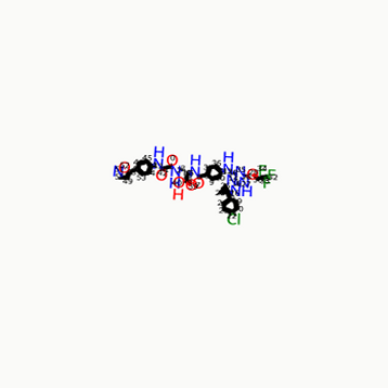 O=C(NC[C@H](NC(=O)c1ccc(Nc2nc(NC3(c4ccc(Cl)cc4)CC3)nc(OCC(F)(F)F)n2)cc1)C(=O)O)C(=O)Nc1ccc(-c2ccno2)cc1